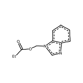 CCC(=O)OCn1cnc2ccccc21